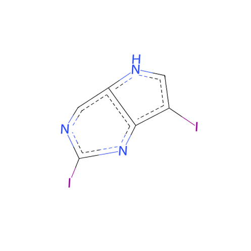 Ic1ncc2[nH]cc(I)c2n1